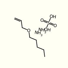 C=CCOCCCCC.N.N.O=S(=O)(O)O